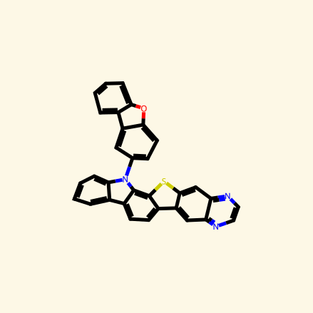 c1ccc2c(c1)oc1ccc(-n3c4ccccc4c4ccc5c6cc7nccnc7cc6sc5c43)cc12